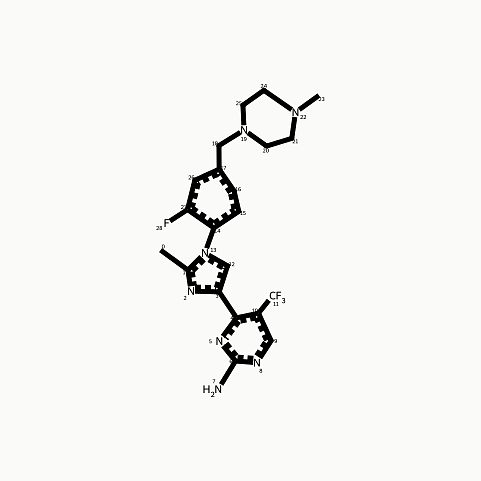 Cc1nc(-c2nc(N)ncc2C(F)(F)F)cn1-c1ccc(CN2CCN(C)CC2)cc1F